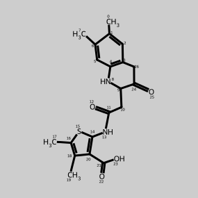 Cc1cc2c(cc1C)NC(CC(=O)Nc1sc(C)c(C)c1C(=O)O)C(=O)C2